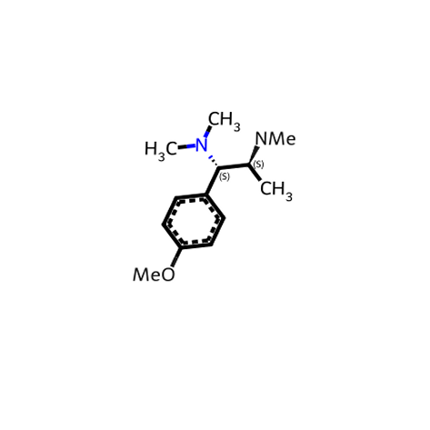 CN[C@@H](C)[C@H](c1ccc(OC)cc1)N(C)C